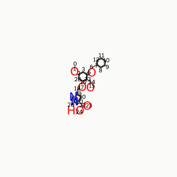 COc1cc(OCc2ccccc2)c(C=O)c(OCc2cc(C(=O)O)n(C)n2)c1